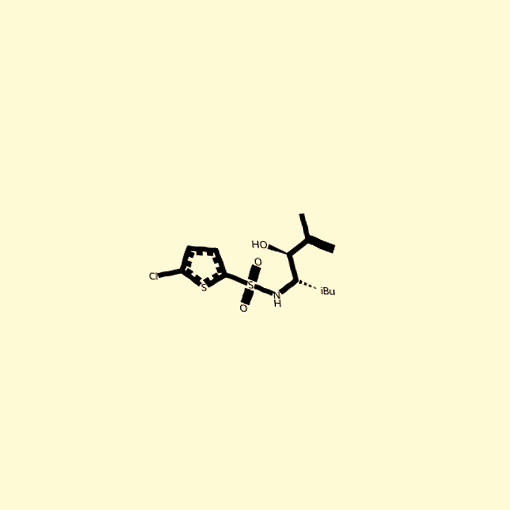 C=C(C)[C@H](O)C(NS(=O)(=O)c1ccc(Cl)s1)[C@@H](C)CC